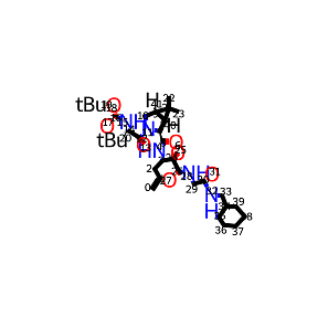 C=CCC(NC(=O)[C@@H]1[C@@H]2[C@H](CN1C(=O)[C@@H](NC(=O)OC(C)(C)C)C(C)(C)C)C2(C)C)C(=O)C(=O)NCC(=O)NCC1CCCCC1